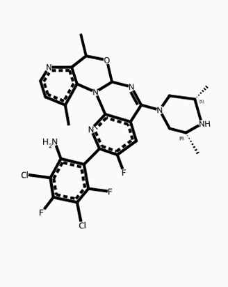 Cc1ccnc2c1N1c3nc(-c4c(N)c(Cl)c(F)c(Cl)c4F)c(F)cc3C(N3C[C@@H](C)N[C@@H](C)C3)=NC1OC2C